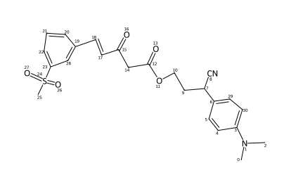 CN(C)c1ccc(C(C#N)CCOC(=O)CC(=O)C=Cc2cccc(S(C)(=O)=O)c2)cc1